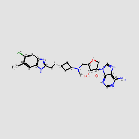 CC(C)N(C[C@H]1OC[C@@](O)(n2cnc3c(N)ncnc32)[C@@H]1O)[C@H]1C[C@H](CCc2nc3cc(Cl)c(C(F)(F)F)cc3[nH]2)C1